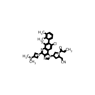 C=CC(=O)N1CC(n2cnc3c(N4CC(N(C)C)C4)nc4c(F)c(-c5cccc(C)c5C)c(Cl)cc4c32)CC1CC#N